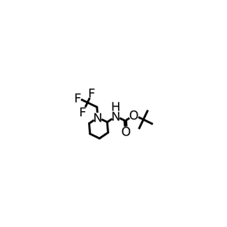 CC(C)(C)OC(=O)NC1CCCCN1CC(F)(F)F